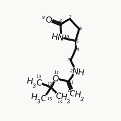 C=C(NCC[C@@H]1CCC(=O)N1)OC(C)(C)C